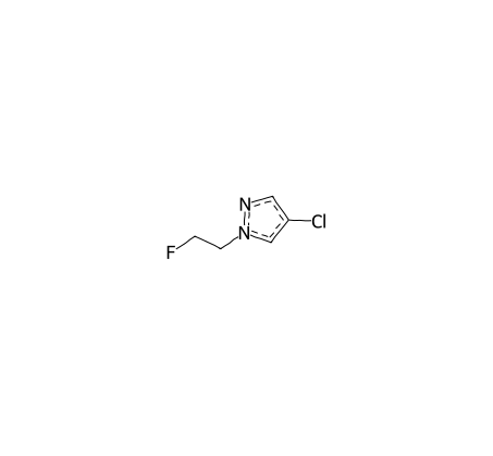 FCCn1cc(Cl)cn1